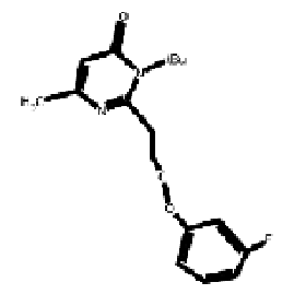 Cc1cc(=O)n(C(C)(C)C)c(CCCOc2cccc(F)c2)n1